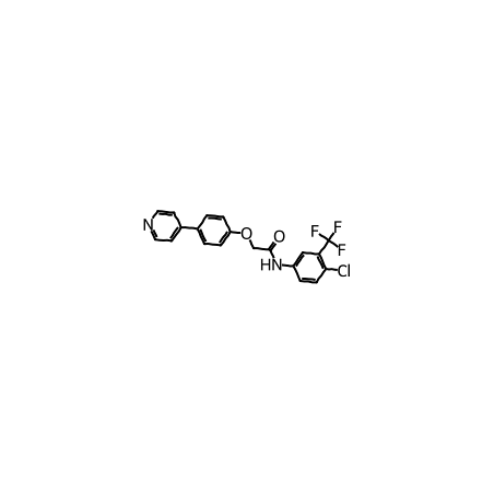 O=C(COc1ccc(-c2ccncc2)cc1)Nc1ccc(Cl)c(C(F)(F)F)c1